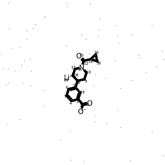 O=C([O-])c1cccc(C2CCN(C(=O)C3CC3)CC2)c1.[Li+]